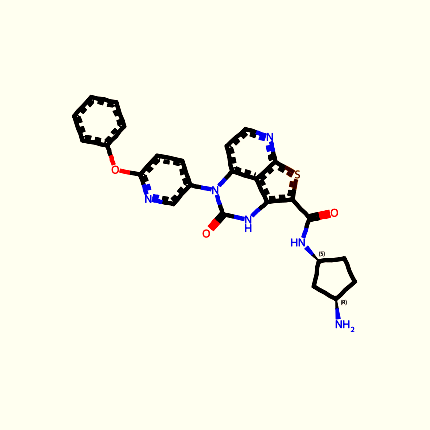 N[C@@H]1CC[C@H](NC(=O)c2sc3nccc4c3c2NC(=O)N4c2ccc(Oc3ccccc3)nc2)C1